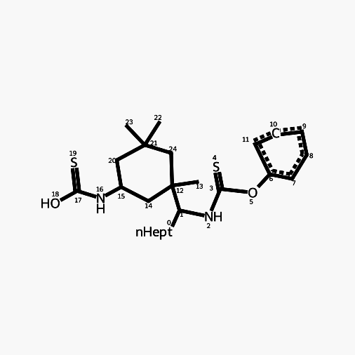 CCCCCCCC(NC(=S)Oc1ccccc1)C1(C)CC(NC(O)=S)CC(C)(C)C1